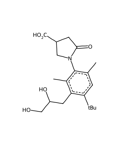 Cc1cc(C(C)(C)C)c(CC(O)CO)c(C)c1N1CC(C(=O)O)CC1=O